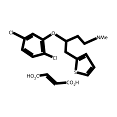 CNCCC(Cc1cccs1)Oc1cc(Cl)ccc1Cl.O=C(O)C=CC(=O)O